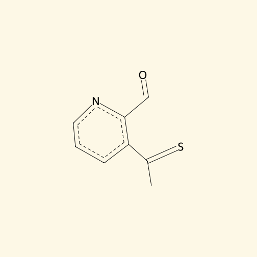 CC(=S)c1cccnc1C=O